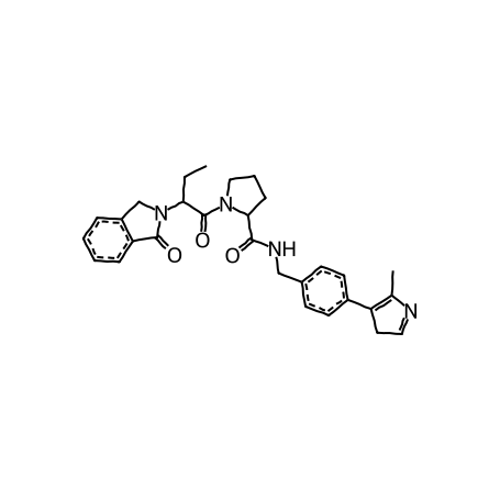 CCC(C(=O)N1CCCC1C(=O)NCc1ccc(C2=C(C)N=CC2)cc1)N1Cc2ccccc2C1=O